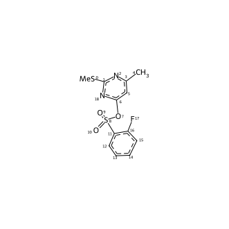 CSc1nc(C)cc(OS(=O)(=O)c2ccccc2F)n1